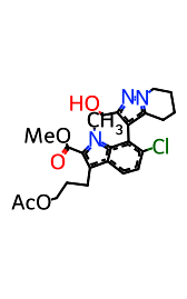 COC(=O)c1c(CCCOC(C)=O)c2ccc(Cl)c(-c3c(CO)nn4c3CCCC4)c2n1C